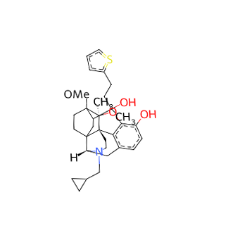 COC12CCC3(CC1C(C)(O)CCc1cccs1)[C@H]1Cc4ccc(O)c5c4[C@@]3(CCN1CC1CC1)[C@]2(C)O5